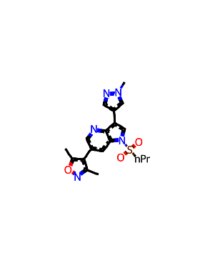 CCCS(=O)(=O)n1cc(-c2cnn(C)c2)c2ncc(-c3c(C)noc3C)cc21